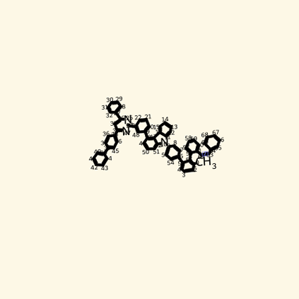 Cc1cccc(-c2ccc(-n3c4ccccc4c4c(-c5cccc(-c6nc(-c7ccccc7)cc(-c7ccc(-c8ccccc8)cc7)n6)c5)cccc43)cc2)c1-c1ccccc1/C=C\c1ccccc1